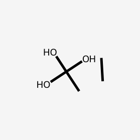 CC.CC(O)(O)O